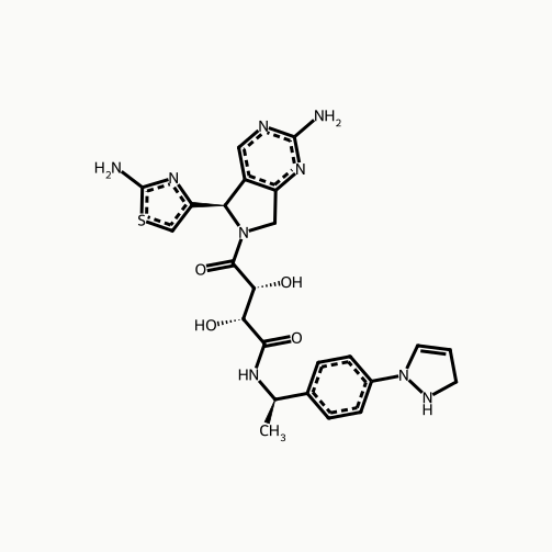 C[C@@H](NC(=O)[C@H](O)[C@@H](O)C(=O)N1Cc2nc(N)ncc2[C@@H]1c1csc(N)n1)c1ccc(N2C=CCN2)cc1